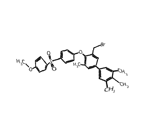 COc1ccc(S(=O)(=O)c2ccc(Oc3c(C)cc(-c4cc(C)c(C)c(C)c4)cc3CBr)cc2)cc1